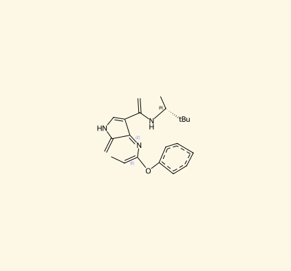 C=C(N[C@H](C)C(C)(C)C)C1=CNC(=C)/C1=N\C(=C/C)Oc1ccccc1